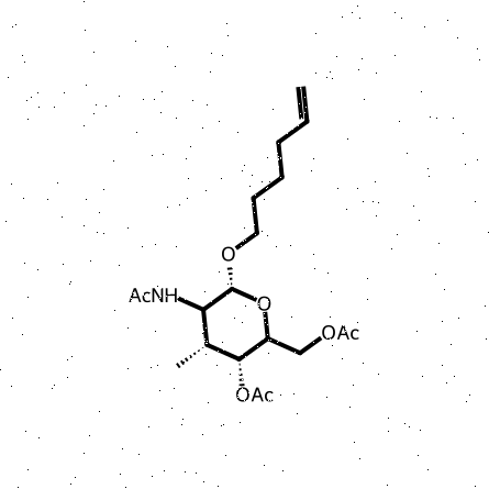 C=CCCCCO[C@@H]1OC(COC(C)=O)[C@H](OC(C)=O)[C@H](C)C1NC(C)=O